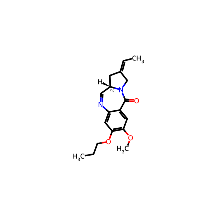 CC=C1C[C@H]2C=Nc3cc(OCCC)c(OC)cc3C(=O)N2C1